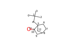 CC(C)(C)CC12CCC(CC1=O)C2